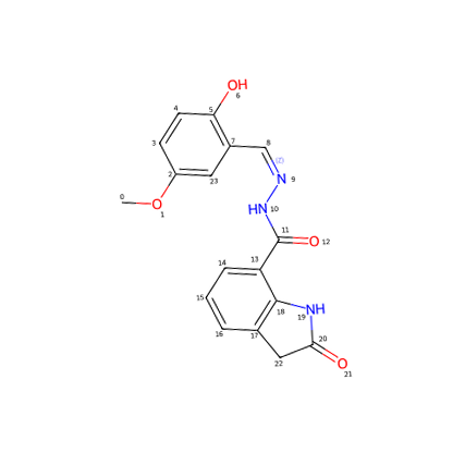 COc1ccc(O)c(/C=N\NC(=O)c2cccc3c2NC(=O)C3)c1